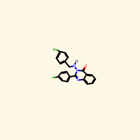 CCN(Cc1ccc(Br)cc1)n1c(-c2ccc(F)cc2)nc2ccccc2c1=O